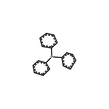 [c]1ccccc1P(c1ccccc1)c1ccccc1